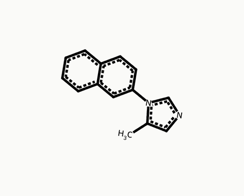 Cc1cncn1-c1ccc2ccccc2c1